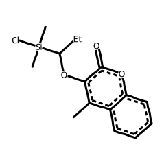 CCC(Oc1c(C)c2ccccc2oc1=O)[Si](C)(C)Cl